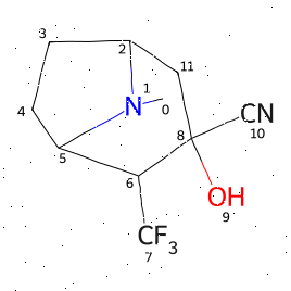 CN1C2CCC1C(C(F)(F)F)C(O)(C#N)C2